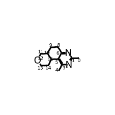 Cc1nc(C)c2c(n1)CCC1COCCC21